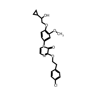 COc1cc(-n2ccnc(OCCc3ccc(Cl)cc3)c2=O)ccc1OCC(O)C1CC1